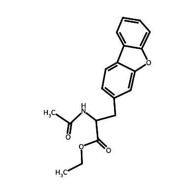 CCOC(=O)C(Cc1ccc2c(c1)oc1ccccc12)NC(C)=O